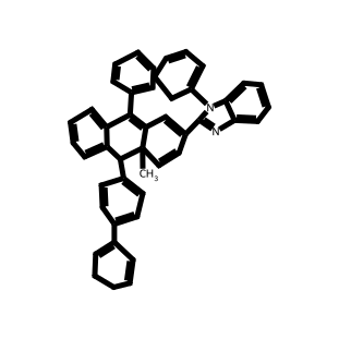 CC12C=CC(c3nc4ccccc4n3C3=CC=CCC3)=CC1=C(c1ccccc1)c1ccccc1C2c1ccc(C2=CCCC=C2)cc1